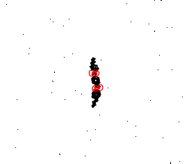 CCCCc1ccc(OC(=O)[C@H]2CC[C@H](C(=O)Oc3ccc(CCCC)cc3)CC2)cc1